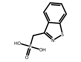 O=P(O)(O)Cc1nsc2ccccc12